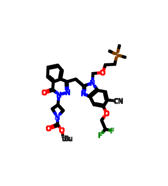 CC(C)(C)OC(=O)N1CC(n2nc(Cc3nc4cc(OCC(F)F)c(C#N)cc4n3COCCS(C)(C)C)c3ccccc3c2=O)C1